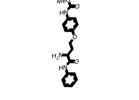 COC(=O)Nc1ccc(OCCC(N)C(=O)Nc2ccccc2)cc1